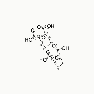 O=C(O)C1C2CCC(O2)C1C(=O)O.O=C(O)C1C2CCC(O2)C1C(=O)O